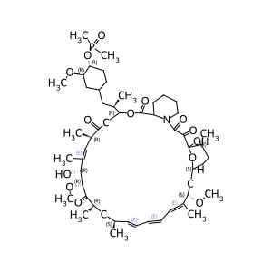 CO[C@H]1C[C@@H]2CC[C@@H](C)C(O)(O2)C(=O)C(=O)N2CCCCC2C(=O)OC([C@H](C)CC2CC[C@@H](OP(C)(C)=O)[C@H](OC)C2)CC(=O)[C@H](C)/C=C(\C)[C@@H](O)[C@@H](OC)C(=O)[C@H](C)C[C@H](C)/C=C/C=C/C=C/1C